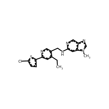 CCc1cc(-c2ccc(Cl)s2)ncc1CNc1cc2c(cn1)ncn2C